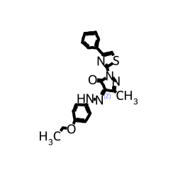 CCOc1ccc(N/N=C2\C(=O)N(c3nc(-c4ccccc4)cs3)N=C2C)cc1